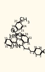 CC1=CCC(CCCCN[C@@H](c2ccccc2)[C@@H](NS(=O)(=O)c2ccc(C)cc2)c2ccccc2)=CC1